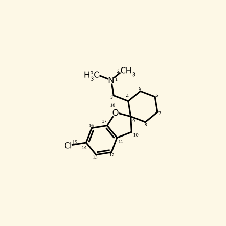 CN(C)CC1CCCCC12Cc1ccc(Cl)cc1O2